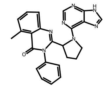 Cc1cccc2nc(C3CCCN3c3ncnc4[nH]cnc34)n(-c3ccccc3)c(=O)c12